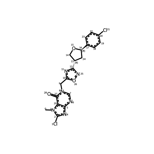 Cn1c(Cl)nc2ncn(Cc3nc([C@@H]4CO[C@@H](c5ccc(Cl)cc5)C4)no3)c(=O)c21